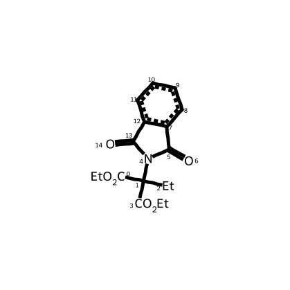 CCOC(=O)C(CC)(C(=O)OCC)N1C(=O)c2ccccc2C1=O